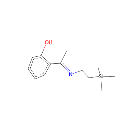 C/C(=N\CC[Si](C)(C)C)c1ccccc1O